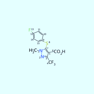 Cn1nc(C(F)(F)F)c(C(=O)O)c1Sc1ccc(F)cc1